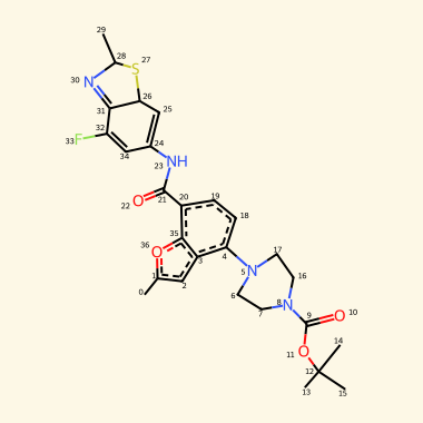 Cc1cc2c(N3CCN(C(=O)OC(C)(C)C)CC3)ccc(C(=O)NC3=CC4SC(C)N=C4C(F)=C3)c2o1